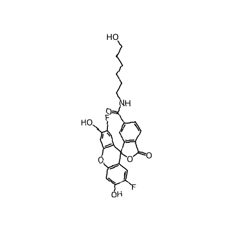 O=C(NCCCCCCO)c1ccc2c(c1)C1(OC2=O)c2cc(F)c(O)cc2Oc2cc(O)c(F)cc21